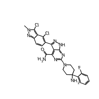 Cn1nc2ccc(-c3n[nH]c4nc(N5CCC(N)(c6ccccc6F)CC5)nc(C(N)=O)c34)c(Cl)c2c1Cl